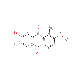 COc1ccc2c(c1C)C(=O)c1cc(O)c(C)cc1C2=O